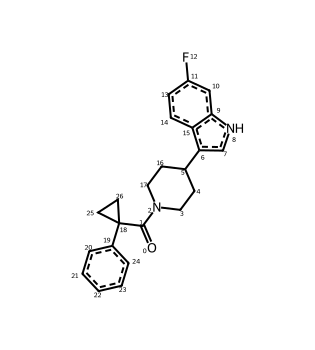 O=C(N1CCC(c2c[nH]c3cc(F)ccc23)CC1)C1(c2ccccc2)CC1